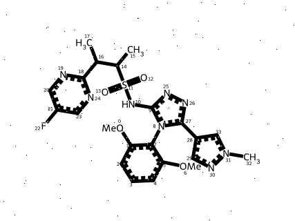 COc1cccc(OC)c1-n1c(NS(=O)(=O)C(C)C(C)c2ncc(F)cn2)nnc1-c1cnn(C)c1